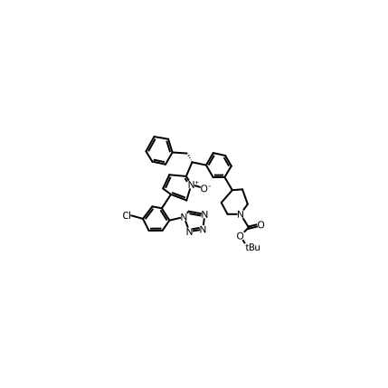 CC(C)(C)OC(=O)N1CCC(c2cccc([C@@H](Cc3ccccc3)c3ccc(-c4cc(Cl)ccc4-n4cnnn4)c[n+]3[O-])c2)CC1